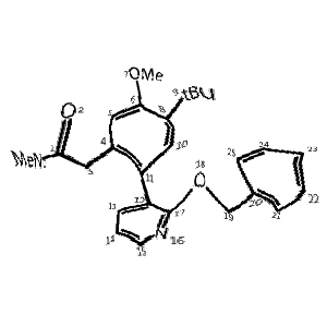 CNC(=O)Cc1cc(OC)c(C(C)(C)C)cc1-c1cccnc1OCc1ccccc1